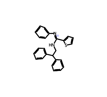 c1ccc(/N=C(\NCC(c2ccccc2)c2ccccc2)c2cccs2)cc1